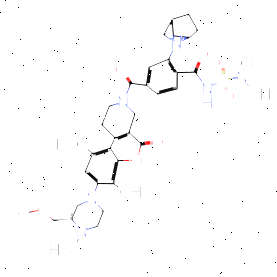 COC[C@H]1CN(c2cc(C)c3c4c(c(=O)oc3c2C)CN(C(=O)c2ccc(C(=O)NS(=O)(=O)N(C)C)c(N3CC5CCC3C5)c2)CC4)CCN1C